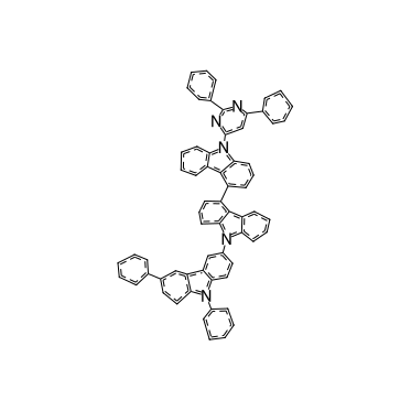 c1ccc(-c2ccc3c(c2)c2cc(-n4c5ccccc5c5c(-c6cccc7c6c6ccccc6n7-c6cc(-c7ccccc7)nc(-c7ccccc7)n6)cccc54)ccc2n3-c2ccccc2)cc1